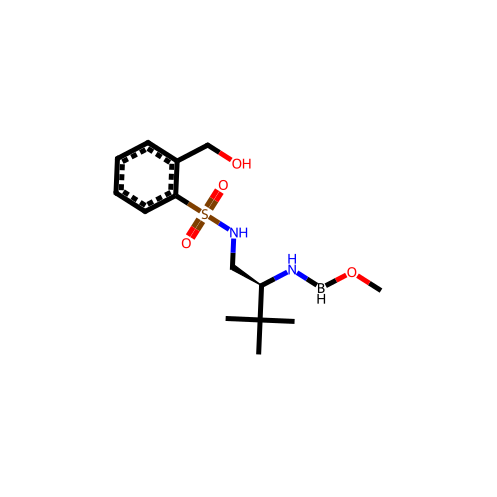 COBN[C@H](CNS(=O)(=O)c1ccccc1CO)C(C)(C)C